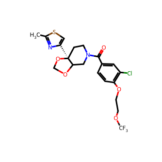 Cc1nc([C@]23CCN(C(=O)c4ccc(OCCOC(F)(F)F)c(Cl)c4)CC2OCO3)cs1